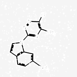 Cc1nc(-n2ccc3ccc(N)cc32)nnc1Cl